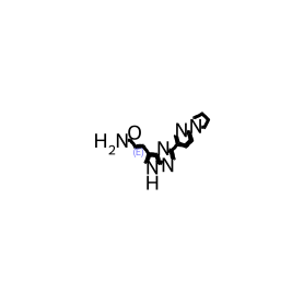 NC(=O)/C=C/c1c[nH]c2ncc(-c3ccc(N4CCCC4)nc3)nc12